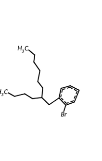 CCCCCCC(CCCC)Cc1ccccc1Br